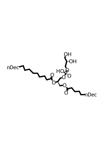 CCCCCCCCCCCCCCCCCCC(=O)O[C@H](COC(=O)CCCCCCCCCCCCCC)COP(=O)(O)OC[C@@H](O)CO